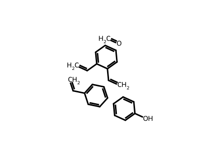 C=Cc1ccccc1.C=Cc1ccccc1C=C.C=O.Oc1ccccc1